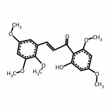 COc1cc(/C=C/C(=O)c2c(O)cc(OC)cc2OC)c(OC)c(OC)c1